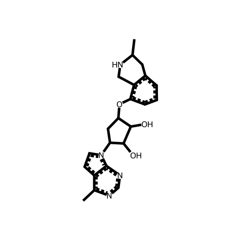 Cc1ncnc2c1ccn2C1CC(Oc2cccc3c2CNC(C)C3)C(O)C1O